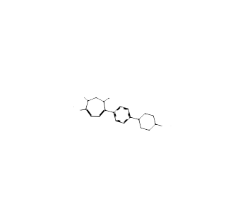 CCCC1CCC(c2ccc(C3=CC=C(OCC)C(F)CC3F)cc2)CC1